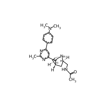 CC(=O)NC[C@H]1C[C@@H]2CC[N@@]1C[C@@H]2c1cc(-c2ccc(N(C)C)cc2)nc(C)n1